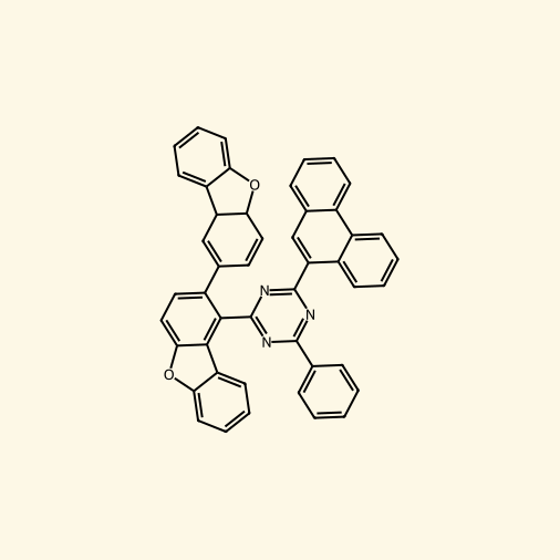 C1=CC2Oc3ccccc3C2C=C1c1ccc2oc3ccccc3c2c1-c1nc(-c2ccccc2)nc(-c2cc3ccccc3c3ccccc23)n1